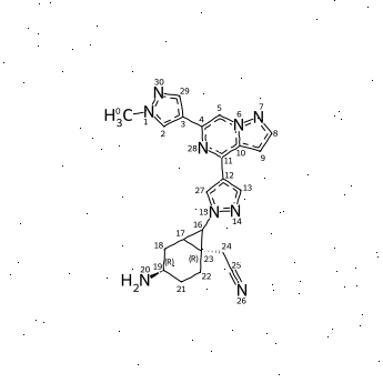 Cn1cc(-c2cn3nccc3c(-c3cnn(C4C5C[C@H](N)CC[C@@]54CC#N)c3)n2)cn1